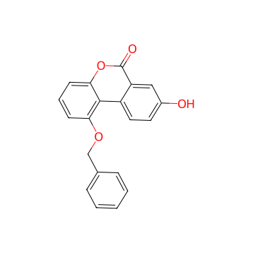 O=c1oc2cccc(OCc3ccccc3)c2c2ccc(O)cc12